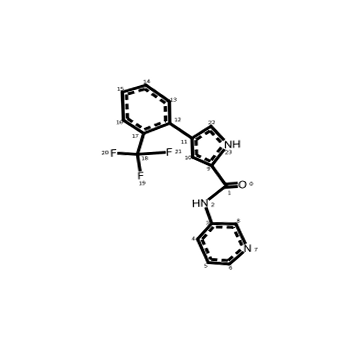 O=C(Nc1cccnc1)c1cc(-c2ccccc2C(F)(F)F)c[nH]1